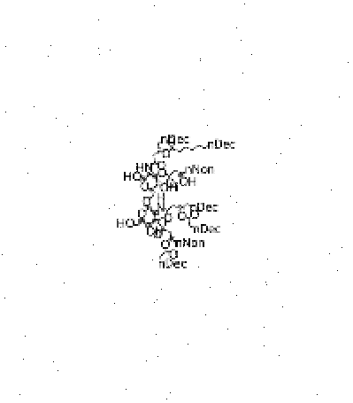 CCCCCCCCCCCCCCCC(=O)O[C@H](CCCCCCCCCCC)CC(=O)N[C@H]1[C@@H](OC(=O)C[C@H](O)CCCCCCCCC)[C@H](O)[C@@H](CO[C@@H]2O[C@H](CO)[C@@H](O)[C@H](OC(=O)C[C@@H](CCCCCCCCC)OC(=O)CCCCCCCCCCC)[C@@H]2NC(=O)C[C@@H](CCCCCCCCCCC)OC(=O)CCCCCCCCCCC)O[C@@H]1O